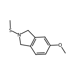 COc1ccc2c(c1)CN(SC)C2